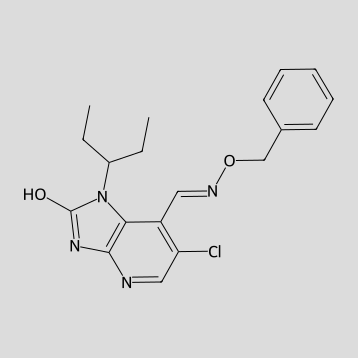 CCC(CC)n1c(O)nc2ncc(Cl)c(C=NOCc3ccccc3)c21